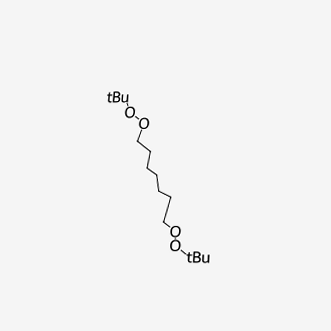 CC(C)(C)OOCCCCCCCOOC(C)(C)C